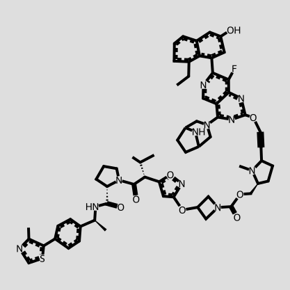 CCc1cccc2cc(O)cc(-c3ncc4c(N5CC6CCC(C5)N6)nc(OC#CC5CC[C@@H](COC(=O)N6CC(Oc7cc([C@H](C(=O)N8CCC[C@H]8C(=O)N[C@@H](C)c8ccc(-c9scnc9C)cc8)C(C)C)on7)C6)N5C)nc4c3F)c12